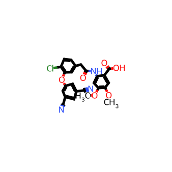 COc1cc(NC(=O)Cc2ccc(Cl)c(Oc3cc(C#N)cc(C#N)c3)c2)c(C(=O)O)cc1OC